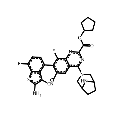 N#Cc1c(N)sc2c(F)ccc(-c3c(Cl)cc4c(N5CC6CCC(C5)N6)nc(C(=O)OC5CCCC5)nc4c3F)c12